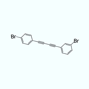 Brc1ccc(C#CC#Cc2cccc(Br)c2)cc1